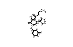 CCCc1nnc2c(=O)n(Cc3cccc(F)c3)cc(C3=CCOC3)n12